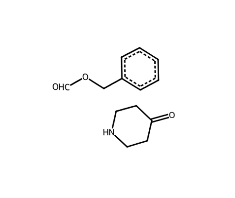 O=C1CCNCC1.O=COCc1ccccc1